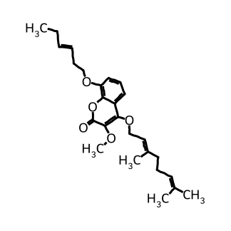 CC/C=C/CCOc1cccc2c(OC/C=C(\C)CCC=C(C)C)c(OC)c(=O)oc12